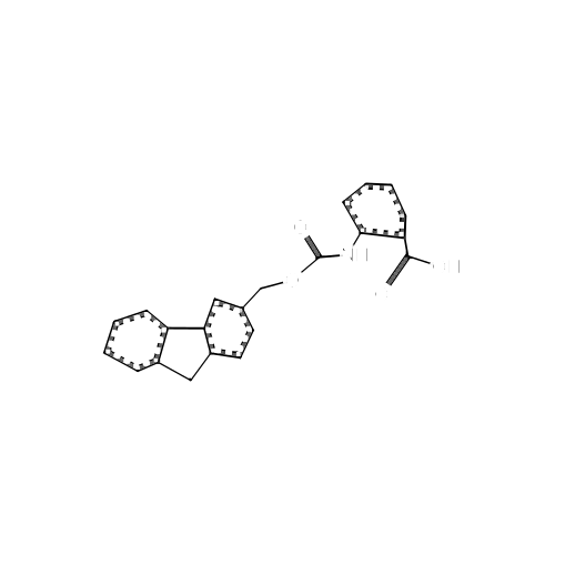 O=C(Nc1ccccc1C(=O)O)OCc1ccc2c(c1)-c1ccccc1C2